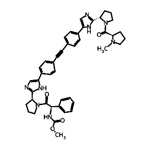 COC(=O)N[C@@H](C(=O)N1CCC[C@H]1c1ncc(-c2ccc(C#Cc3ccc(-c4cnc([C@@H]5CCCN5C(=O)[C@H]5CCCN5C)[nH]4)cc3)cc2)[nH]1)c1ccccc1